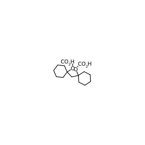 O=C(O)OC1(CC2(OC(=O)O)CCCCC2)CCCCC1